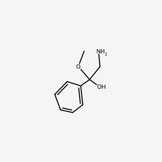 COC(O)(CN)c1ccccc1